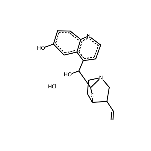 C=CC1CN2CCC1CC2C(O)c1ccnc2ccc(O)cc12.Cl